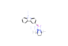 O=C(N[C@@H]1C[C@H]2CC[C@@H]1N2)c1ccc2[nH]c3ccccc3c2c1